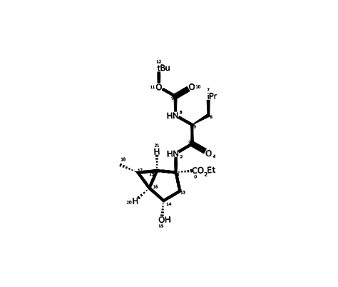 CCOC(=O)[C@]1(NC(=O)[C@H](CC(C)C)NC(=O)OC(C)(C)C)C[C@H](O)[C@H]2[C@H](C)[C@H]21